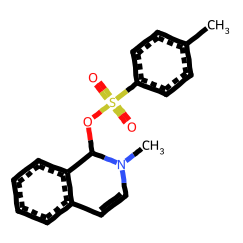 Cc1ccc(S(=O)(=O)OC2c3ccccc3C=CN2C)cc1